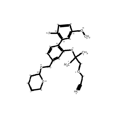 C#CCOCC(C)(C)Oc1cc(COC2CCCCO2)ccc1-c1cc(OC)ccc1F